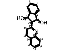 OC1c2ccccc2C(O)C1c1ccc2ccccc2n1